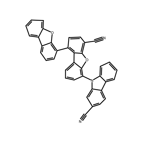 N#Cc1ccc2c3ccccc3n(-c3cccc4c3oc3c(C#N)ccc(-c5cccc6c5oc5ccccc56)c34)c2c1